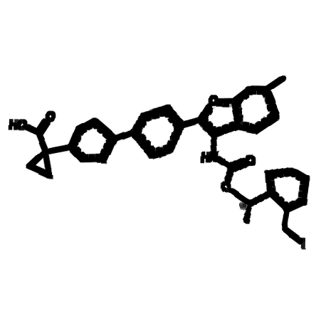 Cc1ccc2c(NC(=O)O[C@H](C)c3ccccc3CI)c(-c3ccc(-c4ccc(C5(C(=O)O)CC5)cc4)cc3)oc2c1